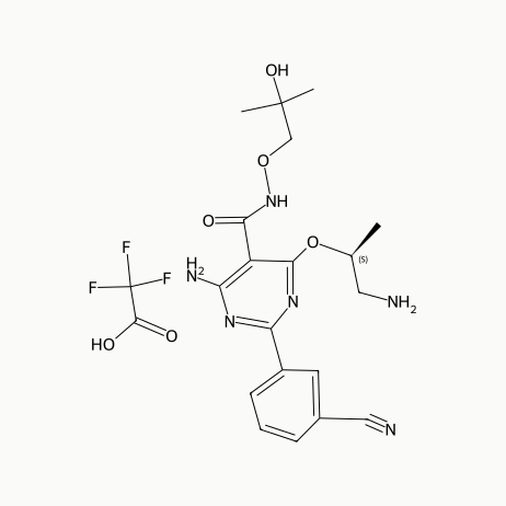 C[C@@H](CN)Oc1nc(-c2cccc(C#N)c2)nc(N)c1C(=O)NOCC(C)(C)O.O=C(O)C(F)(F)F